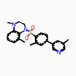 Cc1cncc(-c2ccc(S(=O)(=O)N3CCN(C)c4cccc(C)c43)c(C)c2)c1